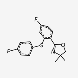 CC1(C)COC(c2ccc(F)cc2Sc2ccc(F)cc2)=N1